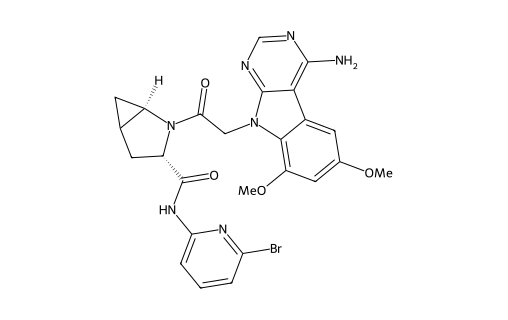 COc1cc(OC)c2c(c1)c1c(N)ncnc1n2CC(=O)N1[C@@H]2CC2C[C@H]1C(=O)Nc1cccc(Br)n1